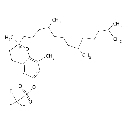 Cc1cc(OS(=O)(=O)C(F)(F)F)cc2c1O[C@](C)(CCCC(C)CCCC(C)CCCC(C)C)CC2